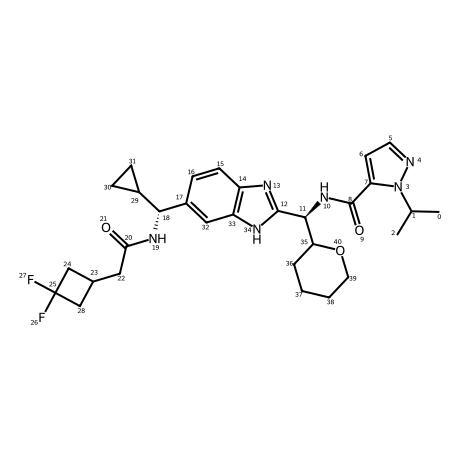 CC(C)n1nccc1C(=O)N[C@H](c1nc2ccc([C@H](NC(=O)CC3CC(F)(F)C3)C3CC3)cc2[nH]1)C1CCCCO1